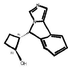 O[C@H]1CC[C@@H]1C1c2ccccc2-c2cncn21